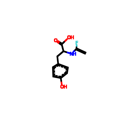 C=C(F)NC(Cc1ccc(O)cc1)C(=O)O